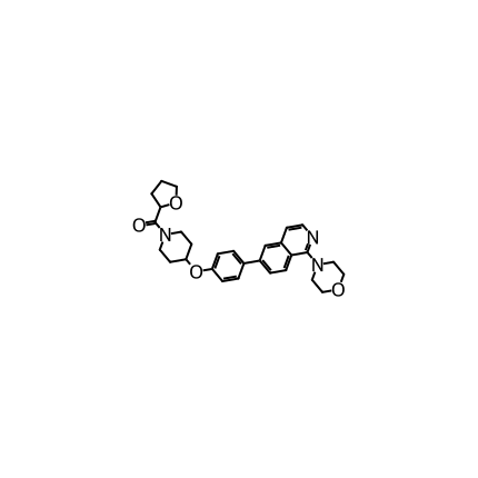 O=C(C1CCCO1)N1CCC(Oc2ccc(-c3ccc4c(N5CCOCC5)nccc4c3)cc2)CC1